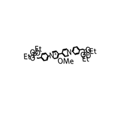 CCOP(=O)(Cc1ccc(-[n+]2ccc(-c3cc[n+](-c4ccc(CP(=O)(OCC)OCC)cc4)cc3OC)cc2)cc1)OCC